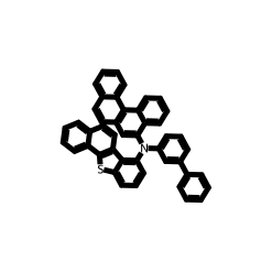 c1ccc(-c2cccc(N(c3cc4ccc5ccccc5c4c4ccccc34)c3cccc4sc5c6ccccc6ccc5c34)c2)cc1